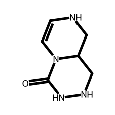 O=C1NNCC2CNC=CN12